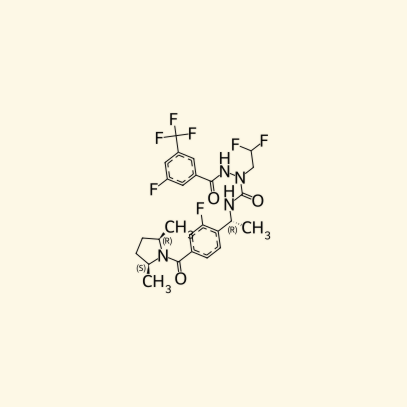 C[C@@H]1CC[C@H](C)N1C(=O)c1ccc([C@@H](C)NC(=O)N(CC(F)F)NC(=O)c2cc(F)cc(C(F)(F)F)c2)c(F)c1